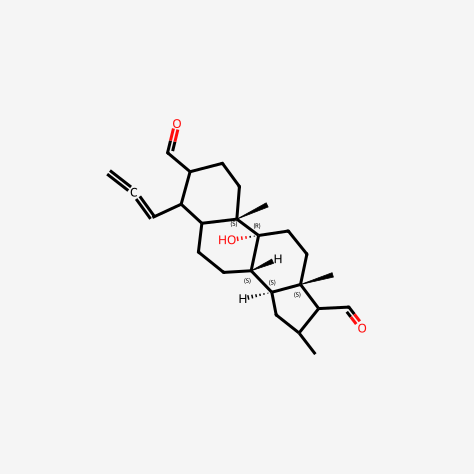 C=C=CC1C(C=O)CC[C@@]2(C)C1CC[C@H]1[C@@H]3CC(C)C(C=O)[C@@]3(C)CC[C@@]12O